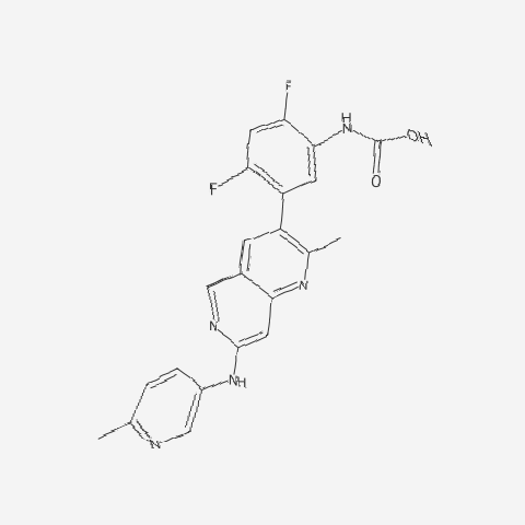 Cc1ccc(Nc2cc3nc(C)c(-c4cc(NC(=O)O)c(F)cc4F)cc3cn2)cn1